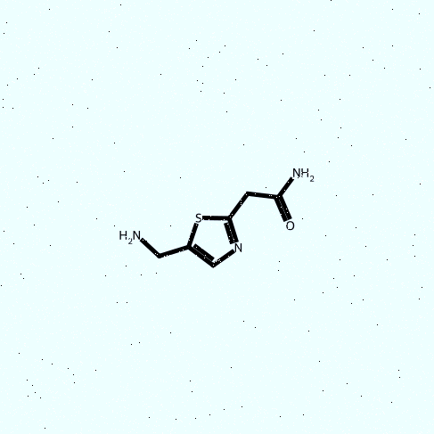 NCc1cnc(CC(N)=O)s1